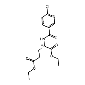 CCOC(=O)CC[C@H](NC(=O)c1ccc(Cl)nc1)C(=O)OCC